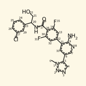 Cn1nncc1-c1cnc(N)c(-c2cc(F)c(C(=O)NC(CO)c3cccc(Cl)c3)c(F)c2)c1